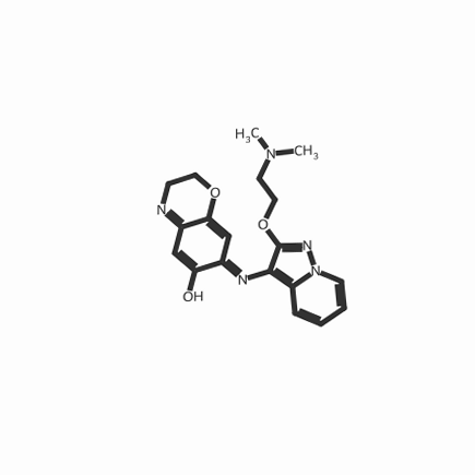 CN(C)CCOc1nn2ccccc2c1/N=C1\C=C2OCCN=C2C=C1O